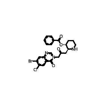 O=C(C[C@@H]1NCCC[C@H]1OC(=O)c1ccccc1)Cn1cnc2cc(Br)c(Cl)cc2c1=O